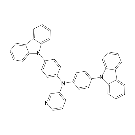 c1cncc(N(c2ccc(-n3c4ccccc4c4ccccc43)cc2)c2ccc(-n3c4ccccc4c4ccccc43)cc2)c1